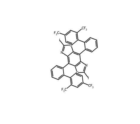 FC(F)(F)c1ccc(-c2ccccc2-c2c3nc(I)oc3c(-c3ccccc3-c3ccc(C(F)(F)F)cc3C(F)(F)F)c3nc(I)oc23)c(C(F)(F)F)c1